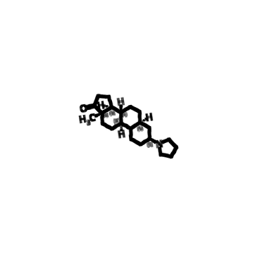 C[C@]12CC[C@@H]3C4CC[C@H](N5CCCC5)C[C@@H]4CC[C@H]3[C@@H]1CCC2=O